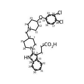 O=C(O)CCc1c(N2CCC(CN3CCC(Oc4ccc(Cl)c(Cl)c4)CC3)CC2)[nH]c2ccccc12